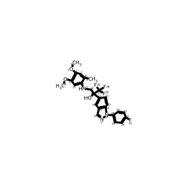 COc1cc(C)c(NCC(O)(c2ccc3c(cnn3-c3ccc(F)cc3)c2)C(F)(F)F)cc1OC